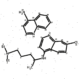 CCN(CC)CCCC(C)Nc1ccnc2cc(Cl)ccc12.Nc1ccnc2ccccc12